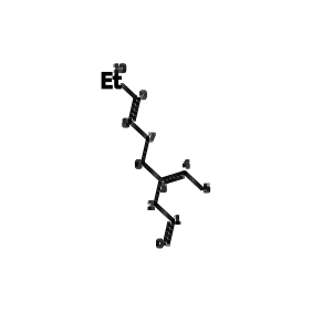 C=CCC(=CC)CCC=CCC